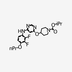 CCCOc1ccc(Nc2cc(OC3CCN(C(=O)OC(C)C)CC3)ncn2)c(F)c1F